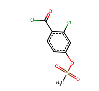 CS(=O)(=O)Oc1ccc(C(=O)Cl)c(Cl)c1